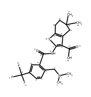 CN(C)Cc1ccc(C(F)(F)F)cc1C(=O)Nc1sc2c(c1C(=O)O)CC(C)(C)CC2